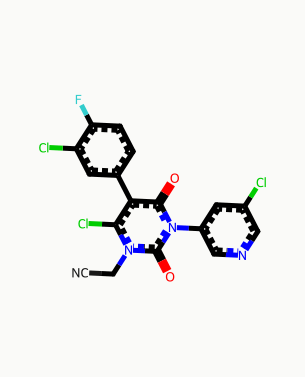 N#CCn1c(Cl)c(-c2ccc(F)c(Cl)c2)c(=O)n(-c2cncc(Cl)c2)c1=O